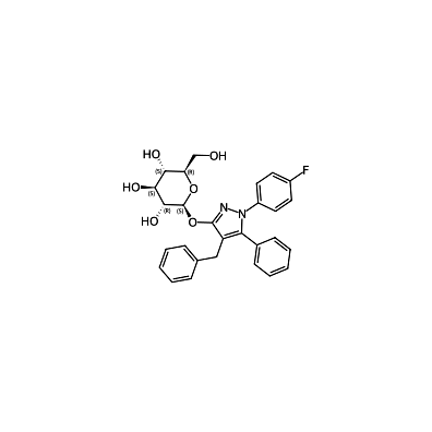 OC[C@H]1O[C@@H](Oc2nn(-c3ccc(F)cc3)c(-c3ccccc3)c2Cc2ccccc2)[C@H](O)[C@@H](O)[C@@H]1O